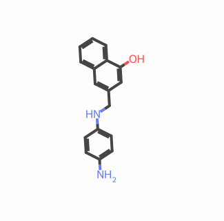 Nc1ccc(NCc2cc(O)c3ccccc3c2)cc1